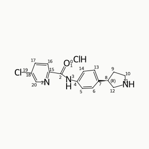 Cl.O=C(Nc1ccc([C@H]2CCNC2)cc1)c1ccc(Cl)cn1